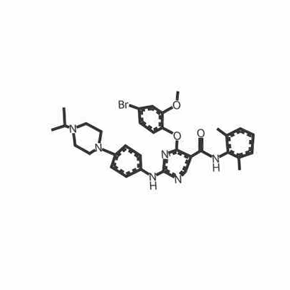 COc1cc(Br)ccc1Oc1nc(Nc2ccc(N3CCN(C(C)C)CC3)cc2)ncc1C(=O)Nc1c(C)cccc1C